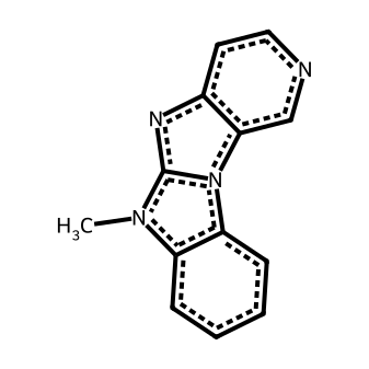 Cn1c2ccccc2n2c3cnccc3nc12